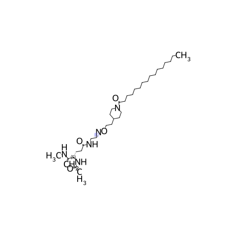 C=C(NC)[C@H](CCC(=O)NC/C=N/OCCC1CCN(C(=O)CCCCCCCCCCCCCCC)CC1)NC(C)=O